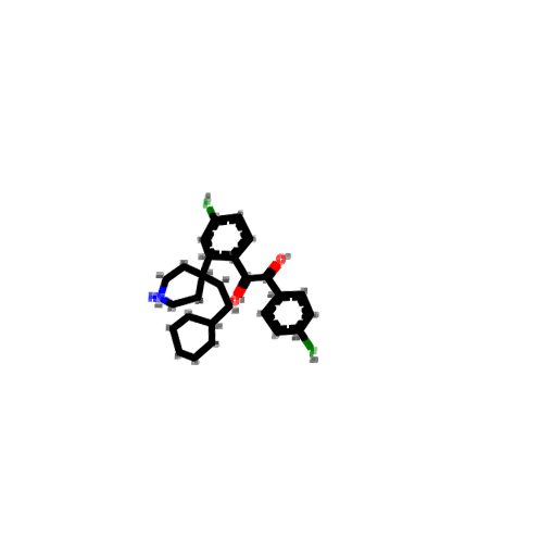 O=C(C(=O)c1ccc(F)cc1C1(CCC2CCCCC2)CCNCC1)c1ccc(F)cc1